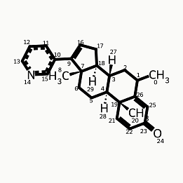 CC1C[C@@H]2[C@H](CC[C@]3(C)C(c4cccnc4)=CC[C@@H]23)[C@@]2(C)C=CC(=O)C=C12